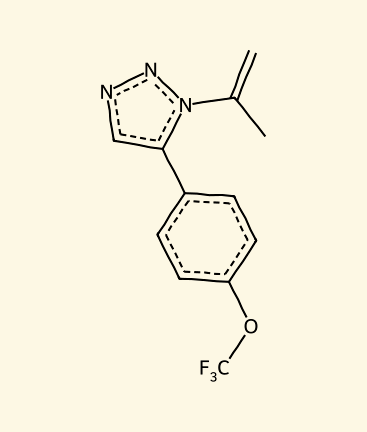 C=C(C)n1nncc1-c1ccc(OC(F)(F)F)cc1